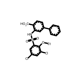 CCOc1c(Cl)cc(Cl)cc1S(=O)(=O)Nc1cc(-c2ccccc2)ccc1C(=O)O